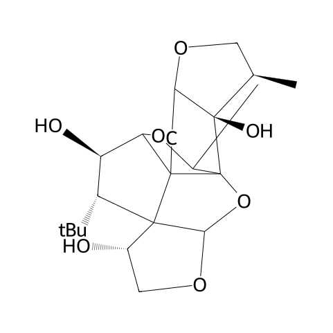 CC1OC2[C@H](O)[C@@H](C(C)(C)C)C34C(OC[C@@H]3O)OC13C24CC1OC[C@@H](C)[C@@]13O